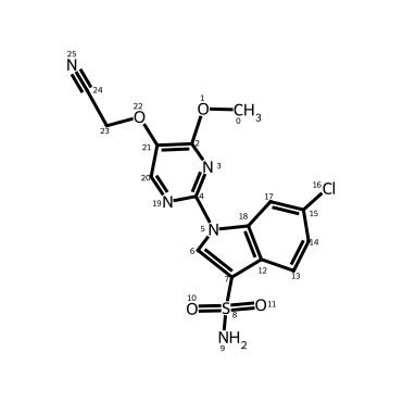 COc1nc(-n2cc(S(N)(=O)=O)c3ccc(Cl)cc32)ncc1OCC#N